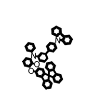 C1=CC(N(c2ccccc2)c2cccc3c2Oc2cc4c(cc2O3)-c2ccccc2C42c3ccccc3-c3ccccc32)=CC(c2ccc(-n3c4ccccc4c4ccccc43)cc2)C1